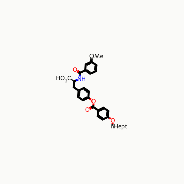 CCCCCCCOc1ccc(C(=O)Oc2ccc(C[C@H](NC(=O)c3cccc(OC)c3)C(=O)O)cc2)cc1